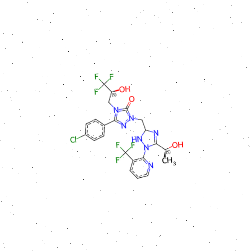 C[C@H](O)C1=NC(Cn2nc(-c3ccc(Cl)cc3)n(C[C@H](O)C(F)(F)F)c2=O)NN1c1ncccc1C(F)(F)F